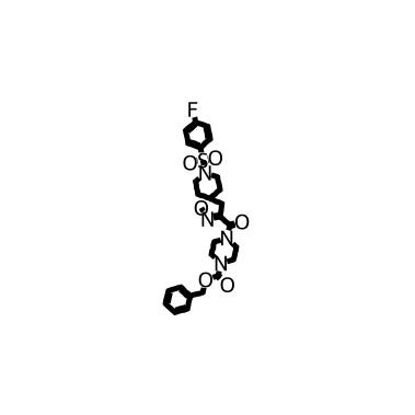 O=C(OCc1ccccc1)N1CCN(C(=O)C2=NOC3(CCN(S(=O)(=O)c4ccc(F)cc4)CC3)C2)CC1